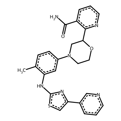 Cc1ccc(N2CCOC(c3ncccc3C(N)=O)C2)cc1Nc1nc(-c2cccnc2)cs1